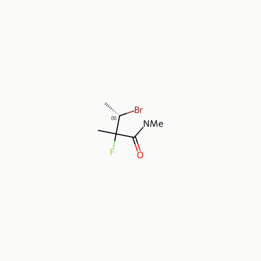 CNC(=O)C(C)(F)[C@H](C)Br